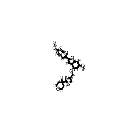 COc1cc(OCc2csc(C3(C)CCOCC3)n2)c2cc(-c3cn4nc(OC)sc4n3)oc2c1